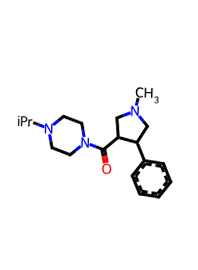 CC(C)N1CCN(C(=O)C2CN(C)CC2c2ccccc2)CC1